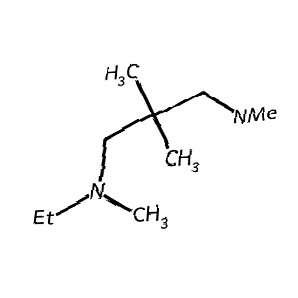 CCN(C)CC(C)(C)CNC